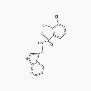 O=S(=O)(NCc1c[nH]c2ccccc12)c1cccc(Cl)c1Cl